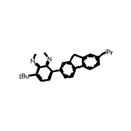 C/N=C1/C(c2ccc3c(c2)Cc2cc(C(C)C)ccc2-3)=CC=C(C(C)(C)C)/C1=N/C